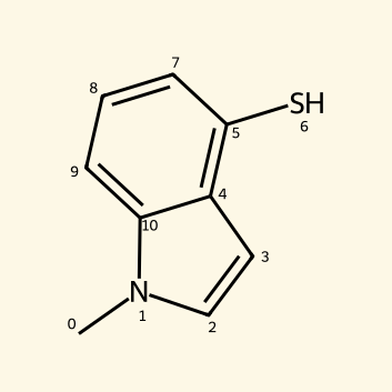 Cn1ccc2c(S)cccc21